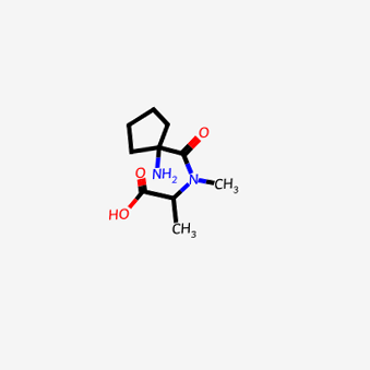 CC(C(=O)O)N(C)C(=O)C1(N)CCCC1